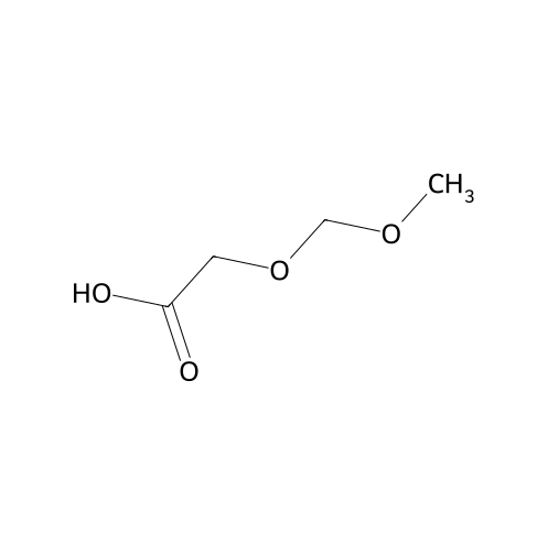 COCOCC(=O)O